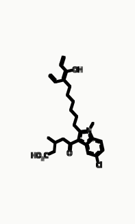 C=C/C(O)=C(\C=C)CCCCCCc1c(C(=O)CC(C)CC(=O)O)c2cc(Cl)ccc2n1C